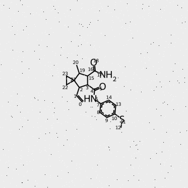 C=CC1C(C(=O)Nc2ccc(SC)cc2)C(C(N)=O)C(C)C12CC2